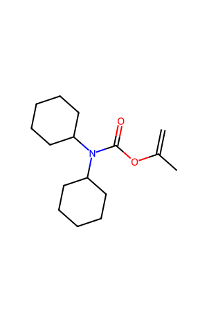 C=C(C)OC(=O)N(C1CCCCC1)C1CCCCC1